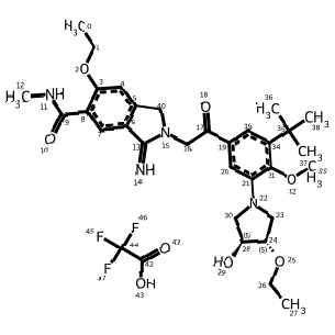 CCOc1cc2c(cc1C(=O)NC)C(=N)N(CC(=O)c1cc(N3C[C@H](OCC)[C@@H](O)C3)c(OC)c(C(C)(C)C)c1)C2.O=C(O)C(F)(F)F